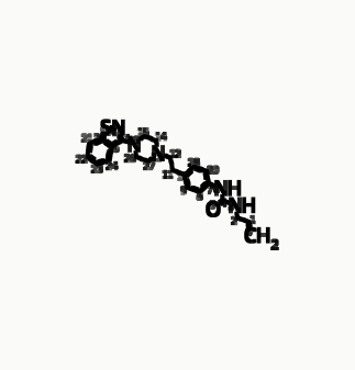 C=CCNC(=O)Nc1ccc(CCN2CCN(c3nsc4ccccc34)CC2)cc1